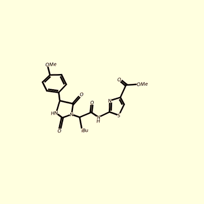 CCC(C)C(C(=O)Nc1nc(C(=O)OC)cs1)N1C(=O)NC(c2ccc(OC)cc2)C1=O